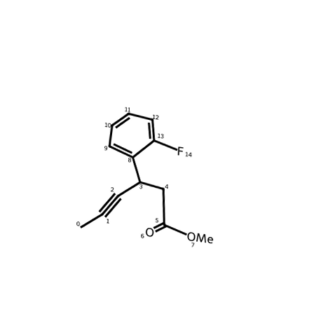 CC#CC(CC(=O)OC)c1ccccc1F